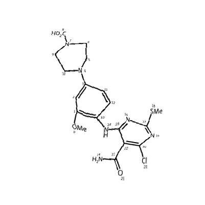 COc1cc(N2CCN(C(=O)O)CC2)ccc1Nc1nc(SC)nc(Cl)c1C(N)=O